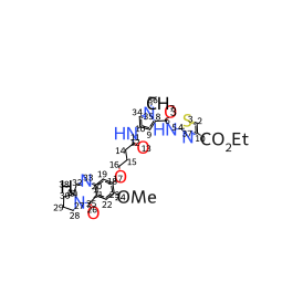 CCOC(=O)c1csc(NC(=O)c2cc(NC(=O)CCCOc3cc4c(cc3OC)C(=O)N3CCC[C@H]3C=N4)cn2C)n1